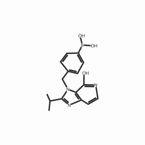 CC(C)c1nc2ccnc(O)c2n1Cc1ccc(B(O)O)cc1